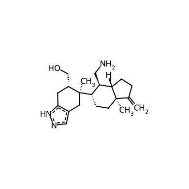 C=C1CC[C@H]2[C@H](CN)[C@@H]([C@@]3(C)Cc4cn[nH]c4C[C@@H]3CO)CC[C@]12C